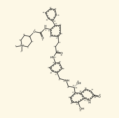 C[N+]1(C)CCC(OC(=O)Nc2cc(CCC(=O)Nc3ccc(CNC[C@H](O)c4ccc(O)c5[nH]c(=O)ccc45)cc3)ccc2-c2ccccc2)CC1